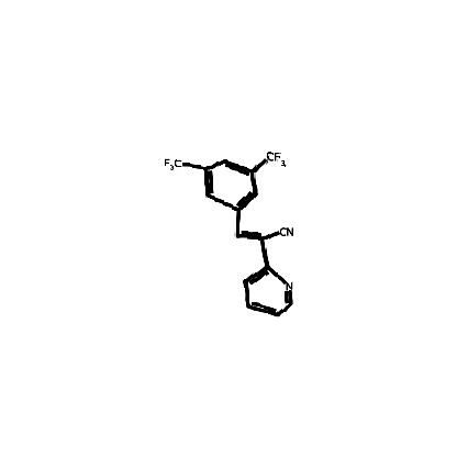 N#C/C(=C\c1cc(C(F)(F)F)cc(C(F)(F)F)c1)c1ccccn1